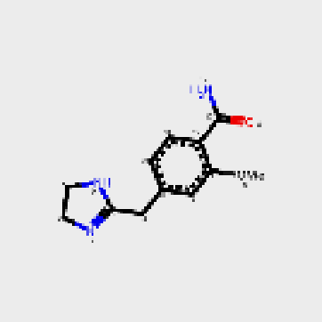 COc1cc(CC2=NCCN2)ccc1C(N)=O